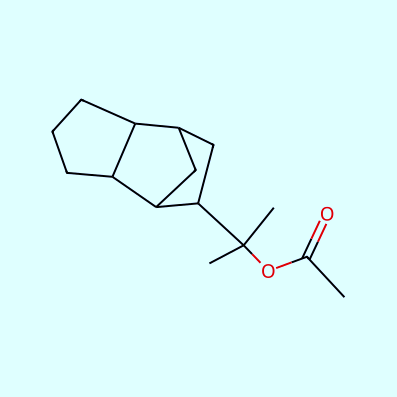 CC(=O)OC(C)(C)C1CC2CC1C1CCCC21